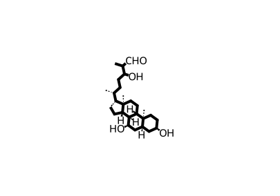 CC(C=O)C(O)CC[C@@H](C)[C@H]1CC[C@H]2[C@@H]3[C@H](O)C[C@@H]4C[C@H](O)CC[C@]4(C)[C@H]3CC[C@]12C